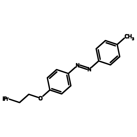 Cc1ccc(N=Nc2ccc(OCCC(C)C)cc2)cc1